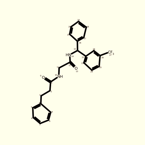 O=C(CCc1ccccc1)NCC(=O)NC(c1ccccc1)c1cccc(C(F)(F)F)c1